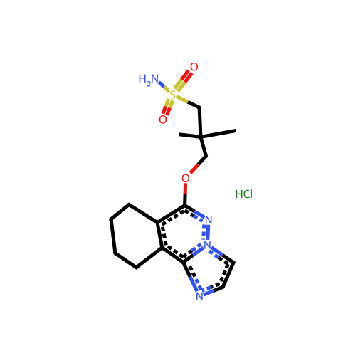 CC(C)(COc1nn2ccnc2c2c1CCCC2)CS(N)(=O)=O.Cl